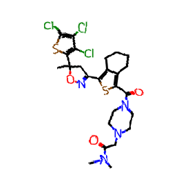 CN(C)C(=O)CN1CCN(C(=O)c2sc(C3=NOC(C)(c4sc(Cl)c(Cl)c4Cl)C3)c3c2CCCC3)CC1